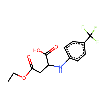 CCOC(=O)CC(Nc1ccc(C(F)(F)F)cc1)C(=O)O